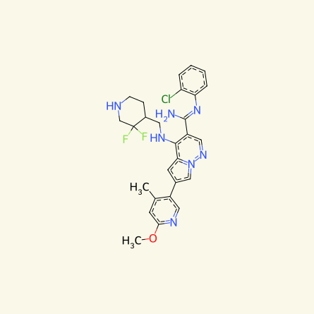 COc1cc(C)c(-c2cc3c(NCC4CCNCC4(F)F)c(/C(N)=N/c4ccccc4Cl)cnn3c2)cn1